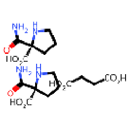 NC(=O)[C@@]1(C(=O)O)CCCN1.NC(=O)[C@@]1(C(=O)O)CCCN1.O=C(O)CCC(=O)O